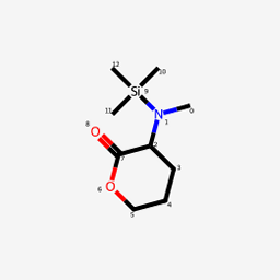 CN(C1CCCOC1=O)[Si](C)(C)C